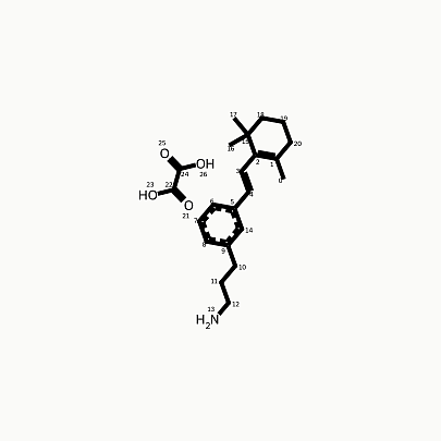 CC1=C(/C=C/c2cccc(CCCN)c2)C(C)(C)CCC1.O=C(O)C(=O)O